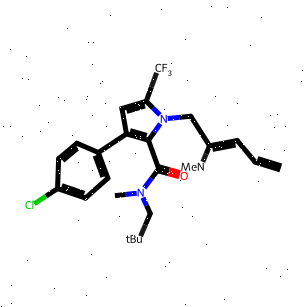 C=C/C=C(/Cn1c(C(F)(F)F)cc(-c2ccc(Cl)cc2)c1C(=O)N(C)CC(C)(C)C)NC